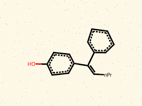 CCC/C=C(\c1ccccc1)c1ccc(O)cc1